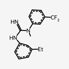 CCc1cccc(NC(=N)N(C)c2cccc(C(F)(F)F)c2)c1